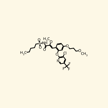 CCCCCS(=O)(=O)NC(=O)C(=Cc1ccc(OCCCOC)cc1Oc1ncc(C(F)(F)F)cc1Cl)OC